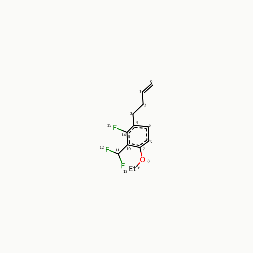 C=CCCc1ccc(OCC)c(C(F)F)c1F